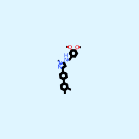 COc1ccc(CNc2cc(-c3ccc(-c4ccc(C)c(C)c4)cc3)nn2C)cc1OC